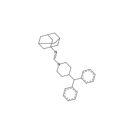 C(=N\C12CC3CC(CC(C3)C1)C2)/N1CCC(C(c2ccccc2)c2ccccc2)CC1